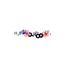 CCCN(CC1CCN(S(=O)(=O)c2cn(C)cn2)CC1)C1CCc2ccc(OS(=O)(=O)C(F)(F)F)cc2C1